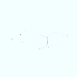 [2H]C([2H])(C)O[C@H]1CNC(CO)C1